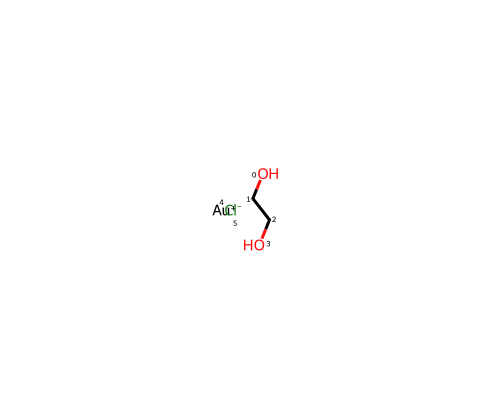 OCCO.[Au+].[Cl-]